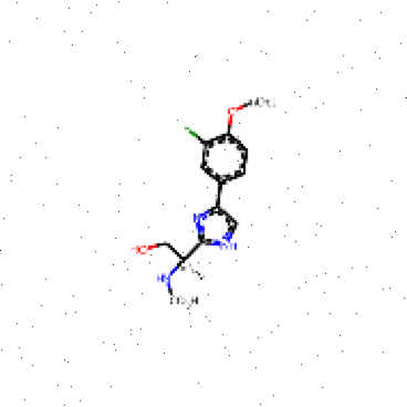 CCCCCCCCOc1ccc(-c2c[nH]c([C@](C)(CO)NC(=O)O)n2)cc1F